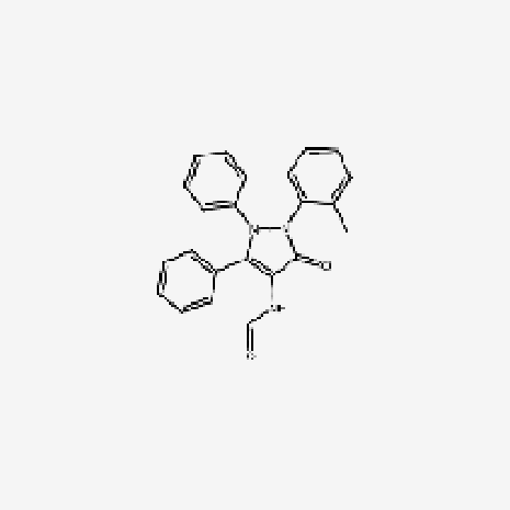 Cc1ccccc1-n1c(=O)c(NC=O)c(-c2ccccc2)n1-c1ccccc1